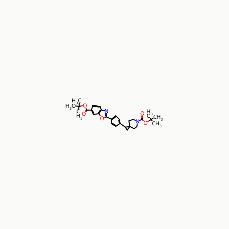 CC(C)(C)OC(=O)c1ccc2nc(-c3ccc(C4CC45CCN(C(=O)OC(C)(C)C)CC5)cc3)oc2c1